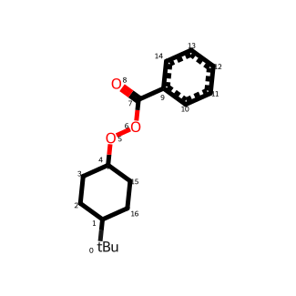 CC(C)(C)C1CC[C](OOC(=O)c2ccccc2)CC1